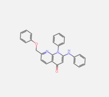 O=c1cc(Nc2ccccc2)n(-c2ccccc2)c2nc(COc3ccccc3)ccc12